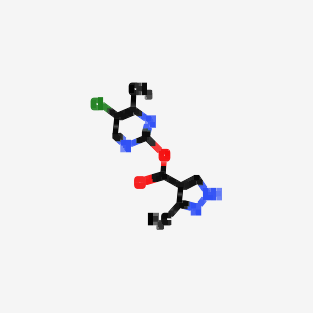 Cc1nc(OC(=O)c2c[nH]nc2C)ncc1Cl